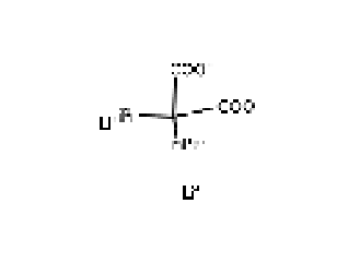 CCCCCC(C(=O)[O-])(C(=O)[O-])C(C)C.[Li+].[Li+]